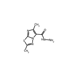 Cc1nn2c(C(=O)NN)c(C)nc2s1